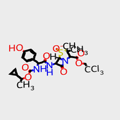 CC(OC(=O)NC(C(=O)NC1C(=O)N2C(C(=O)OCC(Cl)(Cl)Cl)C(C)(C)[S+]([O-])[C@@H]12)c1ccc(O)cc1)C1CC1